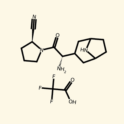 N#C[C@@H]1CCCN1C(=O)[C@@H](N)C1CC2CCC(C1)N2.O=C(O)C(F)(F)F